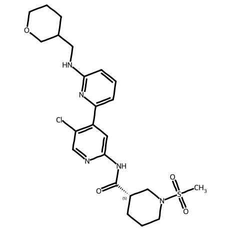 CS(=O)(=O)N1CCC[C@H](C(=O)Nc2cc(-c3cccc(NCC4CCCOC4)n3)c(Cl)cn2)C1